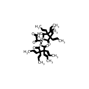 CC=CC1(C=CC)C(=O)N(N(C(=O)C(N)=O)N2C(=O)C(C=CC)(C=CC)C(C=CC)(C=CC)C2=O)C(=O)C1(C=CC)C=CC